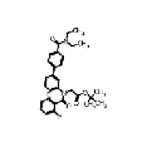 CCN(CC)C(=O)c1ccc(-c2cccc(N(CC(=O)OC(C)(C)C)C(=O)c3c(F)cccc3F)c2)cc1